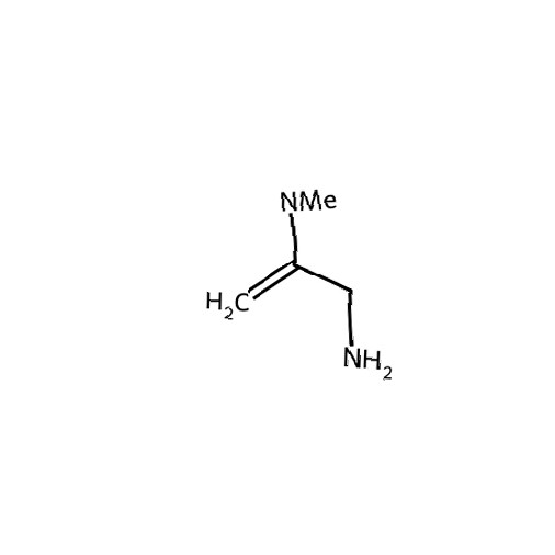 C=C(CN)NC